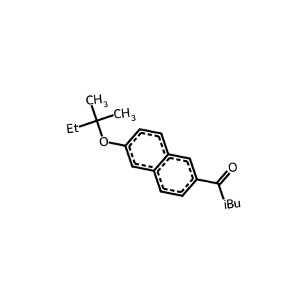 CCC(C)C(=O)c1ccc2cc(OC(C)(C)CC)ccc2c1